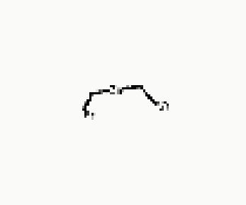 CC(C)[CH2][Zn][CH2]C(C)C